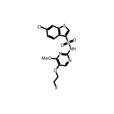 COc1nc(NS(=O)(=O)c2csc3cc(Cl)ccc23)ncc1OCCF